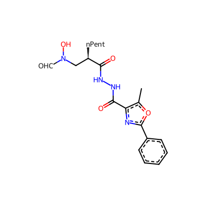 CCCCC[C@H](CN(O)C=O)C(=O)NNC(=O)c1nc(-c2ccccc2)oc1C